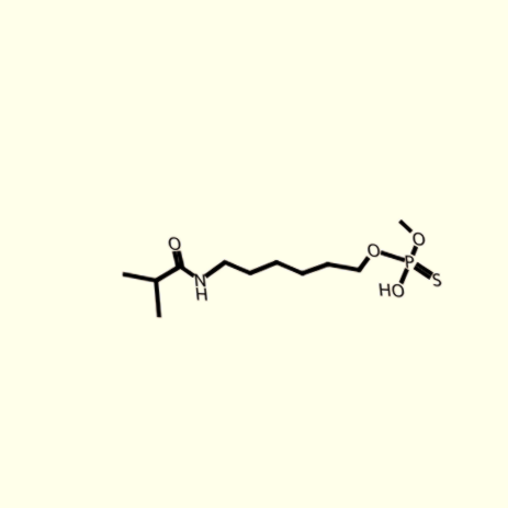 COP(O)(=S)OCCCCCCNC(=O)C(C)C